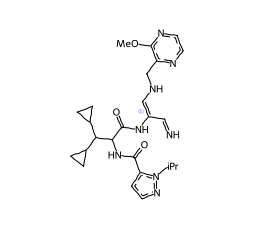 COc1nccnc1CN/C=C(\C=N)NC(=O)C(NC(=O)c1ccnn1C(C)C)C(C1CC1)C1CC1